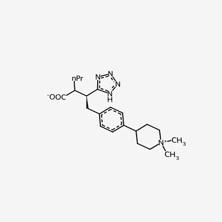 CCCC(C(=O)[O-])[C@H](Cc1ccc(C2CC[N+](C)(C)CC2)cc1)c1nnn[nH]1